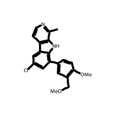 COCc1cc(-c2cc(Cl)cc3c2[nH]c2c(C)nccc23)ccc1OC